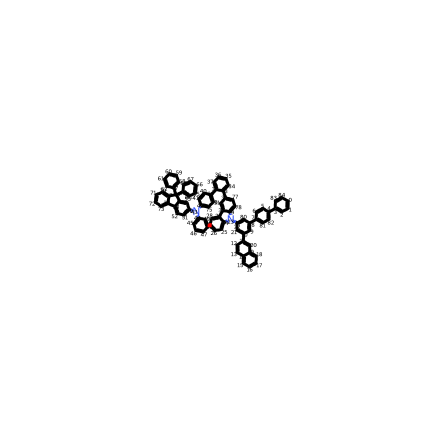 c1ccc(-c2ccc(-c3cc(-c4ccc5ccccc5c4)cc(-n4c5ccccc5c5cc(-c6ccccc6-c6ccc(N(c7ccccc7)c7ccc8c(c7)C(c7ccccc7)(c7ccccc7)c7ccccc7-8)cc6)ccc54)c3)cc2)cc1